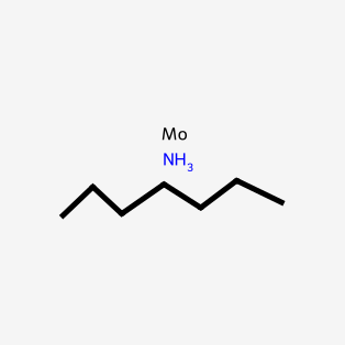 CCCCCCC.N.[Mo]